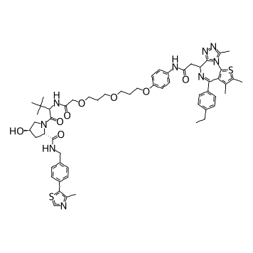 CCc1ccc(C2=NC(CC(=O)Nc3ccc(OCCCOCCCOCC(=O)NC(C(=O)N4C[C@H](O)C[C@H]4C(=O)NCc4ccc(-c5scnc5C)cc4)C(C)(C)C)cc3)c3nnc(C)n3-c3sc(C)c(C)c32)cc1